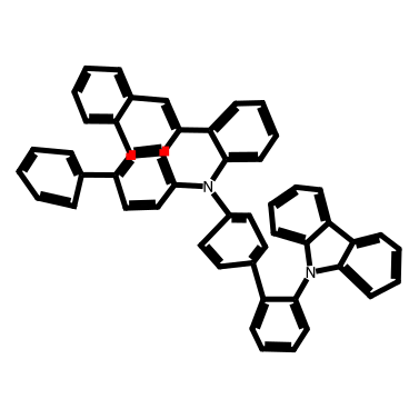 c1ccc(-c2ccc(N(c3ccc(-c4ccccc4-n4c5ccccc5c5ccccc54)cc3)c3ccccc3-c3ccc4ccccc4c3)cc2)cc1